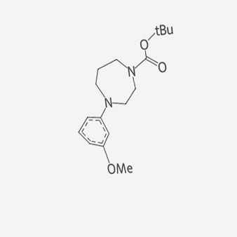 COc1cccc(N2CCCN(C(=O)OC(C)(C)C)CC2)c1